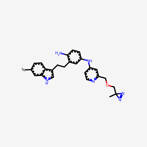 [3H]c1ccc2c(CCc3cc(Nc4ccnc(COCC5(C)N=N5)c4)ccc3N)c[nH]c2c1